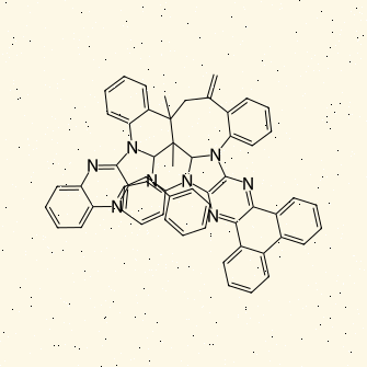 C=C1CC2(C)c3ccccc3N3c4nc5ccccc5nc4N(c4ccccc4)C3C2(C)C2N(c3ccccc3)c3nc4c5ccccc5c5ccccc5c4nc3N2c2ccccc21